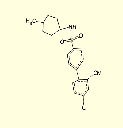 CC1CCC(NS(=O)(=O)c2ccc(-c3ccc(Cl)cc3C#N)cc2)CC1